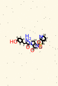 NC(Cc1cccc(O)c1)C(=O)N1CCC2C1C(=O)CN2S(=O)(=O)Cc1cccnc1